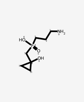 NCCCP(=O)(O)CC1(O)CC1